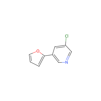 Clc1cncc(-c2ccco2)c1